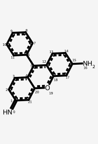 N=c1ccc2c(-c3ccccc3)c3ccc(N)cc3oc-2c1